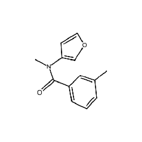 Cc1cccc(C(=O)N(C)c2ccoc2)c1